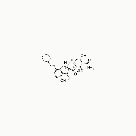 NC(=O)C1=C(O)C[C@@H]2C[C@@H]3Cc4c(CCC5CCCCC5)ccc(O)c4C(=O)C3=C(O)[C@]2(O)C1=O